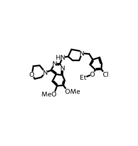 CCOc1cc(CN2CCC(Nc3nc(N4CCOCC4)c4cc(OC)c(OC)cc4n3)CC2)ccc1Cl